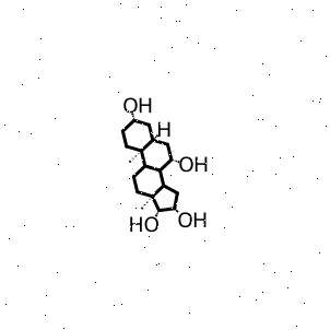 C[C@]12CCC3C(C1C[C@H](O)[C@@H]2O)[C@@H](O)C[C@@H]1C[C@@H](O)CC[C@]31C